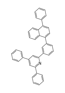 c1ccc(-c2cc(-c3ccccc3)nc(-c3cccc(-c4ccc(-c5ccccc5)c5ccccc45)c3)c2)cc1